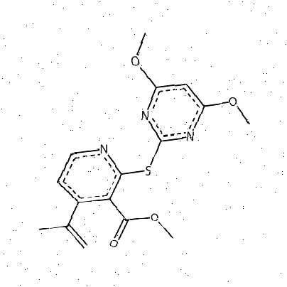 C=C(C)c1ccnc(Sc2nc(OC)cc(OC)n2)c1C(=O)OC